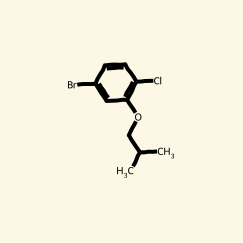 CC(C)COc1cc(Br)ccc1Cl